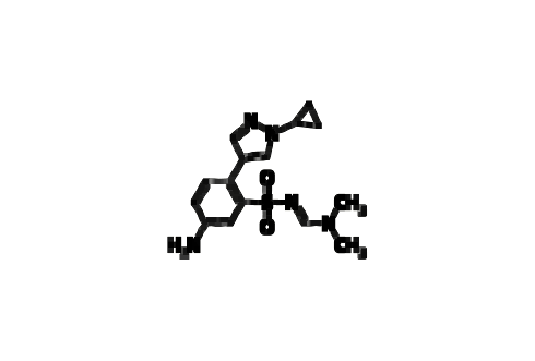 CN(C)/C=N/S(=O)(=O)c1cc(N)ccc1-c1cnn(C2CC2)c1